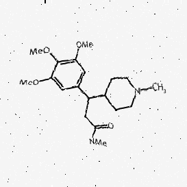 CNC(=O)CC(c1cc(OC)c(OC)c(OC)c1)C1CCN(C)CC1